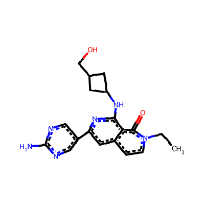 CCn1ccc2cc(-c3cnc(N)nc3)nc(NC3CC(CO)C3)c2c1=O